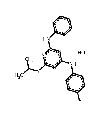 CC(C)Nc1nc(Nc2ccccc2)nc(Nc2ccc(F)cc2)n1.Cl